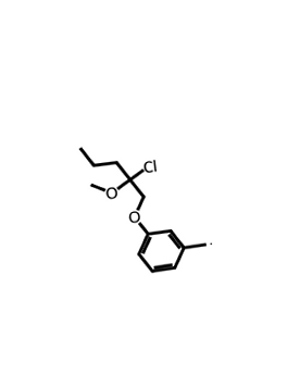 [CH2]c1cccc(OCC(Cl)(CCC)OC)c1